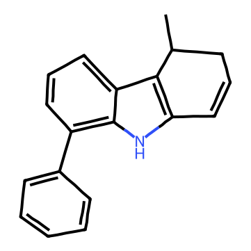 CC1CC=Cc2[nH]c3c(-c4ccccc4)cccc3c21